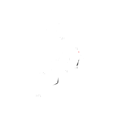 NC(=O)[C@H](C[C@@H]1CCNC1=O)NC(=O)[C@H]1[C@@H]2CC[C@@H](CC2(F)F)N1C(=O)[C@H](CC1CCC1)NC(=O)C(F)(F)F